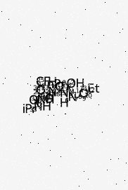 CCC[C@H](O)[C@H](CN(C)Cc1ccc(CC)cc1)NC(=O)CNC(=O)c1cc(C(F)(F)F)ccc1NC(=O)NC(C)C